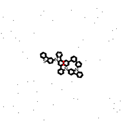 c1ccc(-c2cccc(N(c3ccc4c5ccccc5n(-c5ccccc5)c4c3)c3ccccc3-c3ccc4c5ccccc5n(-c5ccc6sc7ccccc7c6c5)c4c3)c2)cc1